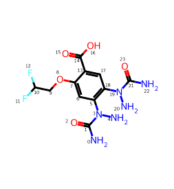 NC(=O)N(N)c1cc(OCC(F)F)c(C(=O)O)cc1N(N)C(N)=O